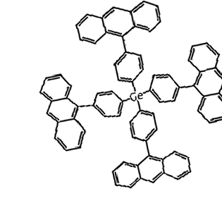 c1ccc2c(-c3cc[c]([Ge]([c]4ccc(-c5c6ccccc6cc6ccccc56)cc4)([c]4ccc(-c5c6ccccc6cc6ccccc56)cc4)[c]4ccc(-c5c6ccccc6cc6ccccc56)cc4)cc3)c3ccccc3cc2c1